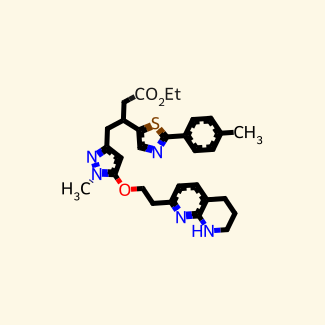 CCOC(=O)CC(Cc1cc(OCCc2ccc3c(n2)NCCC3)n(C)n1)c1cnc(-c2ccc(C)cc2)s1